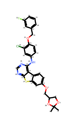 CC1(C)OCC(COc2ccc3c(c2)sc2ncnc(Nc4ccc(OCc5cccc(F)c5)c(Cl)c4)c23)O1